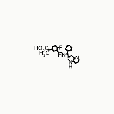 C[C@@H](C(=O)O)c1ccc(F)c(CCN[C@H](c2ccccc2)[C@H]2CNc3cccnc3C2)c1